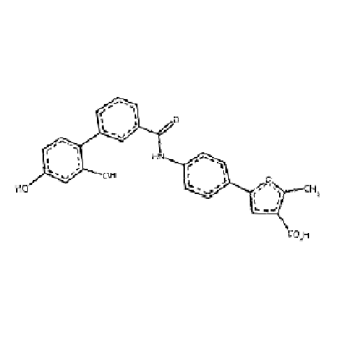 Cc1oc(-c2ccc(NC(=O)c3cccc(-c4ccc(O)cc4O)c3)cc2)cc1C(=O)O